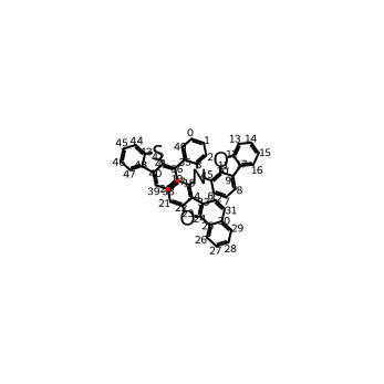 c1ccc(N(c2cccc3c2oc2ccccc23)c2cccc3oc4c5ccccc5ccc4c23)c(-c2cccc3c2sc2ccccc23)c1